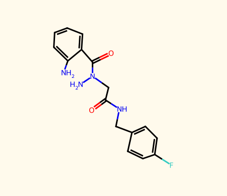 Nc1ccccc1C(=O)N(N)CC(=O)NCc1ccc(F)cc1